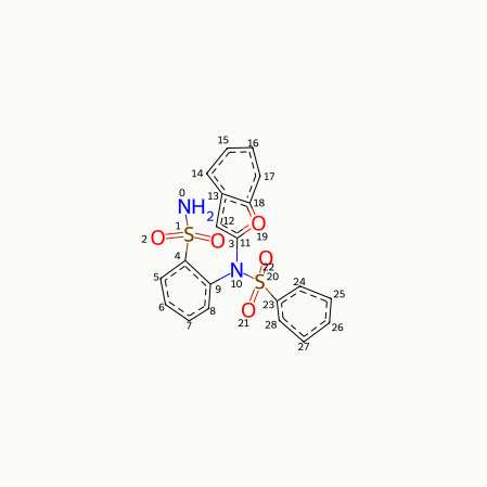 NS(=O)(=O)c1ccccc1N(c1cc2ccccc2o1)S(=O)(=O)c1ccccc1